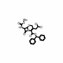 CC(C)(C)OC(=O)NC1C(=O)N2C(C(=O)OC(c3ccccc3)c3ccccc3)=C(CC(Cl)Cl)CSC12